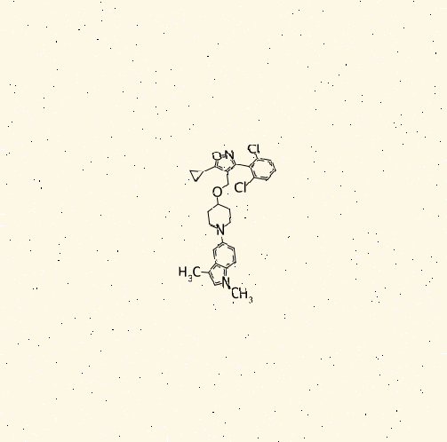 Cc1cn(C)c2ccc(N3CCC(OCc4c(-c5c(Cl)cccc5Cl)noc4C4CC4)CC3)cc12